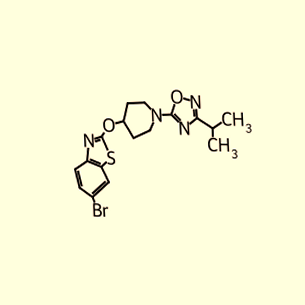 CC(C)c1noc(N2CCC(Oc3nc4ccc(Br)cc4s3)CC2)n1